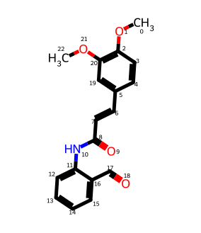 COc1ccc(/C=C/C(=O)Nc2ccccc2C=O)cc1OC